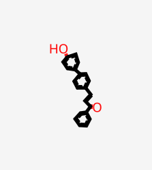 O=C(/C=C/c1ccc(-c2ccc(O)cc2)cc1)c1ccccc1